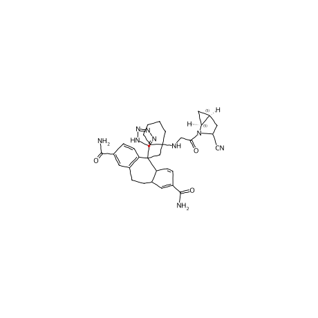 N#CC1C[C@@H]2C[C@@H]2N1C(=O)CNC1(CC2(c3nnn[nH]3)c3ccc(C(N)=O)cc3CCC3C=C(C(N)=O)C=CC32)CCCCC1